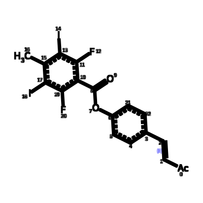 CC(=O)/C=C/c1ccc(OC(=O)c2c(F)c(I)c(C)c(I)c2F)cc1